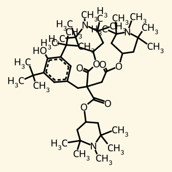 CN1C(C)(C)CC(OC(=O)CC(Cc2cc(C(C)(C)C)c(O)c(C(C)(C)C)c2)(C(=O)OC2CC(C)(C)N(C)C(C)(C)C2)C(=O)OC2CC(C)(C)N(C)C(C)(C)C2)CC1(C)C